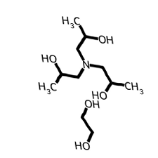 CC(O)CN(CC(C)O)CC(C)O.OCCO